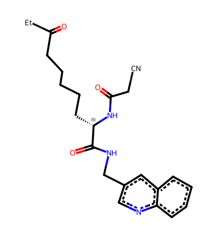 CCC(=O)CCCCC[C@H](NC(=O)CC#N)C(=O)NCc1cnc2ccccc2c1